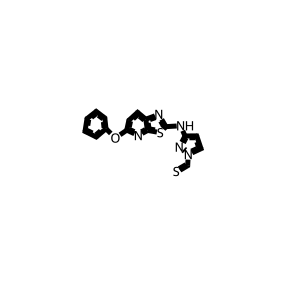 S=Cn1ccc(Nc2nc3ccc(Oc4ccccc4)nc3s2)n1